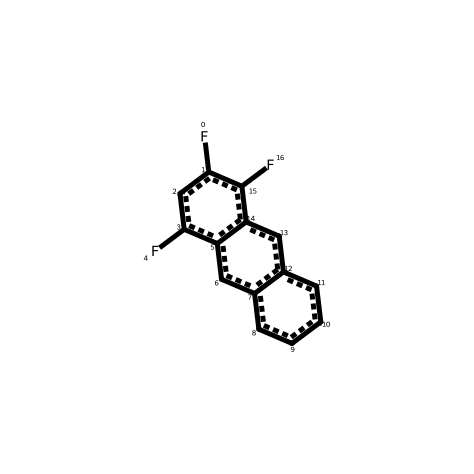 Fc1[c]c(F)c2cc3cc[c]cc3cc2c1F